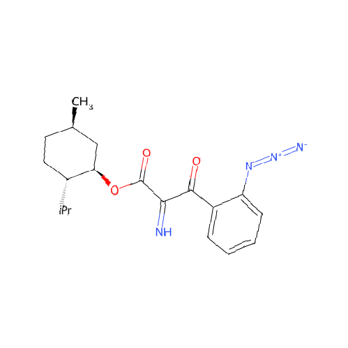 CC(C)[C@@H]1CC[C@@H](C)C[C@H]1OC(=O)C(=N)C(=O)c1ccccc1N=[N+]=[N-]